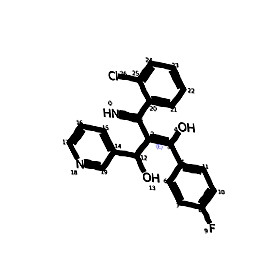 N=C(/C(=C(\O)c1ccc(F)cc1)C(O)c1cccnc1)c1ccccc1Cl